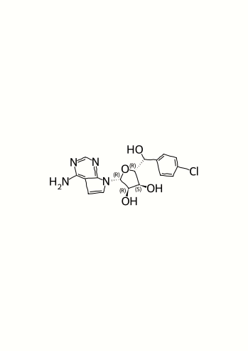 Nc1ncnc2c1ccn2[C@@H]1O[C@H](C(O)c2ccc(Cl)cc2)[C@@H](O)[C@H]1O